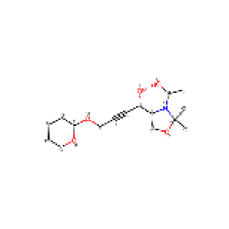 CB(O)N1[C@@H]([C@@H](O)C#CCOC2CCCCO2)COC1(C)C